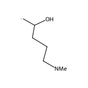 [CH2]C(O)CCCNC